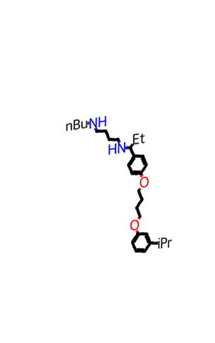 CCCCNCCCCNC(CC)c1ccc(OCCCCOc2cccc(C(C)C)c2)cc1